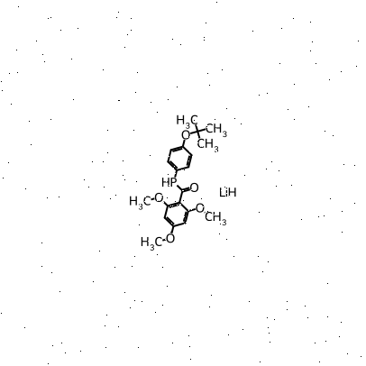 COc1cc(OC)c(C(=O)Pc2ccc(OC(C)(C)C)cc2)c(OC)c1.[LiH]